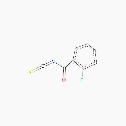 O=C(N=C=S)c1ccncc1F